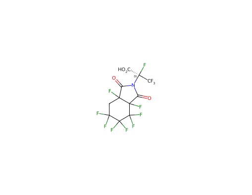 O=C1N([C@](F)(C(=O)O)C(F)(F)F)C(=O)C2(F)C1(F)CC(F)(F)C(F)(F)C2(F)F